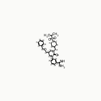 CC(C)S(=O)(=O)N1CCC(CN2CC(COCc3ccccc3)CN(c3cccc(C(=N)N)c3)C2=O)CC1